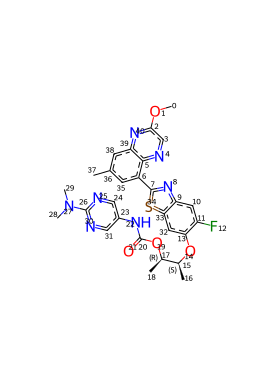 COc1cnc2c(-c3nc4cc(F)c(O[C@@H](C)[C@@H](C)OC(=O)Nc5cnc(N(C)C)nc5)cc4s3)cc(C)cc2n1